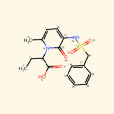 CCC(C(=O)O)n1c(C)ccc(NS(=O)(=O)Cc2ccccc2)c1=O